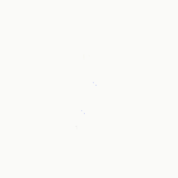 CC(C)N1CCN(CS)C(C)C1